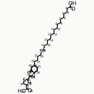 O=C(O)CCCCCCCCCCCCCCCSSCCCCc1ccc2nc(C3=N[C@@H](C(=O)O)CS3)sc2c1